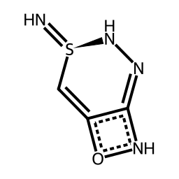 N=[S@@]1C=c2o[nH]c2=NN1